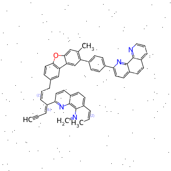 C#C/C=C(\C=C/Cc1ccc2oc3cc(C)c(-c4ccc(-c5ccc6ccc7cccnc7c6n5)cc4)cc3c2c1)c1ccc2ccc(/C=C\C)c(N=C)c2n1